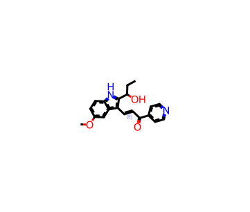 CCC(O)c1[nH]c2ccc(OC)cc2c1/C=C/C(=O)c1ccncc1